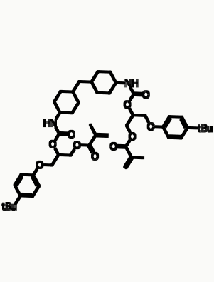 C=C(C)C(=O)OCC(COc1ccc(C(C)(C)C)cc1)OC(=O)NC1CCC(CC2CCC(NC(=O)OC(COC(=O)C(=C)C)COc3ccc(C(C)(C)C)cc3)CC2)CC1